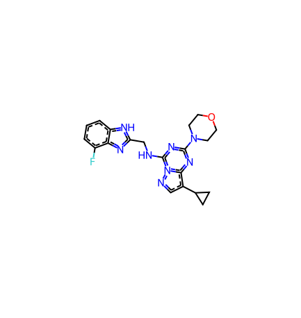 Fc1cccc2[nH]c(CNc3nc(N4CCOCC4)nc4c(C5CC5)cnn34)nc12